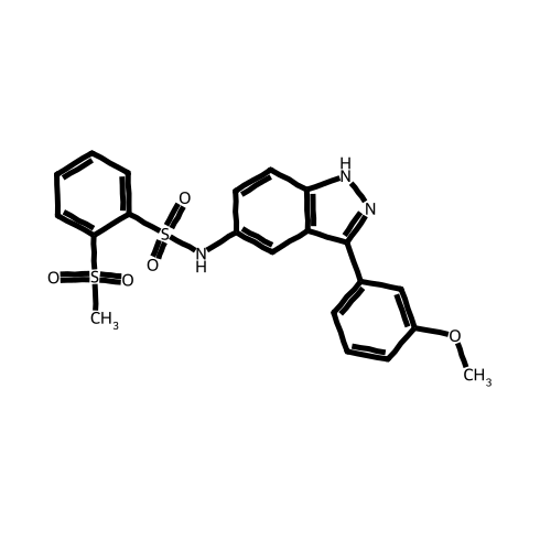 COc1cccc(-c2n[nH]c3ccc(NS(=O)(=O)c4ccccc4S(C)(=O)=O)cc23)c1